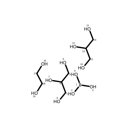 OB(O)O.OCC(O)CO.OCC(O)CO.OCCO